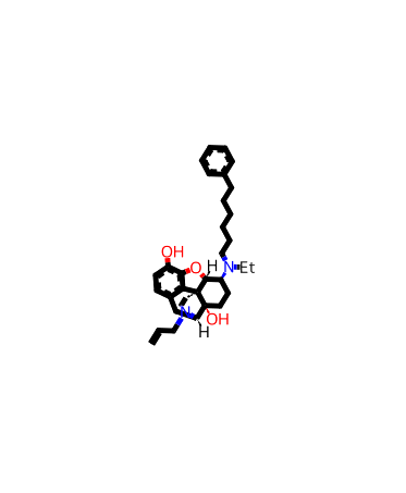 C=CCN1CC[C@]23c4c5ccc(O)c4O[C@H]2[C@@H](N(CC)CCCCCCc2ccccc2)CC[C@@]3(O)[C@H]1C5